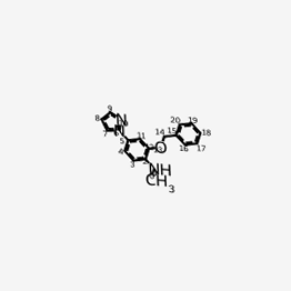 CNc1ccc(-n2cccn2)cc1OCc1ccccc1